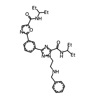 CCC(CC)NC(=O)c1cnc(-c2cccc(-c3nc(C(=O)NC(CC)CC)n(CCNCc4ccccc4)n3)c2)o1